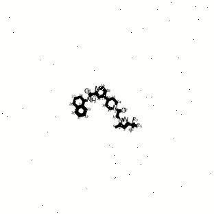 Cc1cc(C(F)(F)F)nn1CC(=O)N1CCC(c2ccnc(C(=O)NC3CCCc4ccccc43)c2)CC1